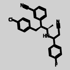 C[C@H](NC(CC#N)c1ccc(F)cc1)[C@@H](Cc1ccc(Cl)cc1)c1cccc(C#N)c1